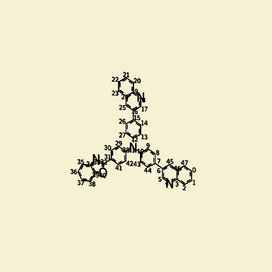 c1ccc2ncc(-c3ccc(N(c4ccc(-c5cnc6ccccc6c5)cc4)c4ccc(-c5nc6ccccc6o5)cc4)cc3)cc2c1